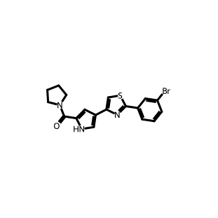 O=C(c1cc(-c2csc(-c3cccc(Br)c3)n2)c[nH]1)N1CCCC1